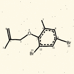 C=C(C)COc1c(C)cc(Br)cc1Br